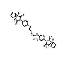 CC(OCCOc1ccc(N2C(=O)[C@@H]3C4C=CC(C4)[C@@H]3C2=O)cc1)Oc1ccc(N2C(=O)[C@@H]3C4C=CC(C4)[C@@H]3C2=O)cc1